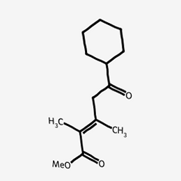 COC(=O)/C(C)=C(\C)CC(=O)C1CCCCC1